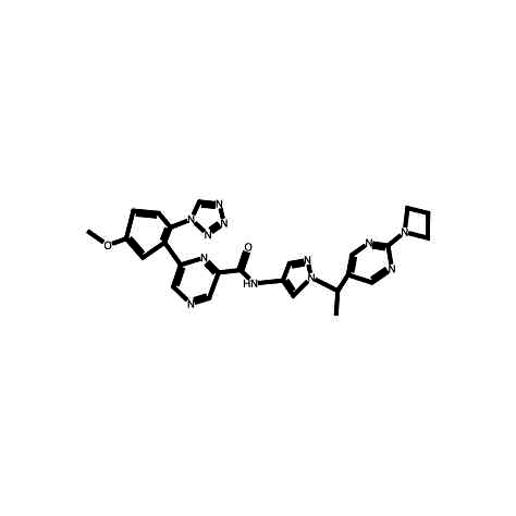 COc1ccc(-n2cnnn2)c(-c2cncc(C(=O)Nc3cnn(C(C)c4cnc(N5CCC5)nc4)c3)n2)c1